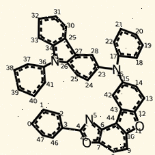 c1ccc(-c2nc3c(ccc4oc5ccc(N(c6ccccc6)c6ccc7c(c6)c6ccccc6n7-c6ccccc6)cc5c43)o2)cc1